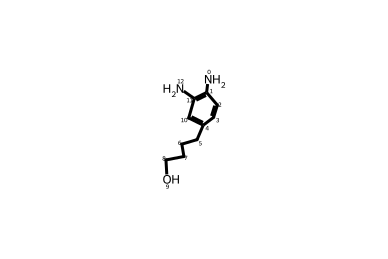 Nc1ccc(CCCCO)cc1N